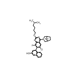 CN(C)CCCCOc1nc(N2CC3CCC(C2)N3)c2cc(Cl)c(-c3cc(O)cc4ccccc34)c(F)c2n1